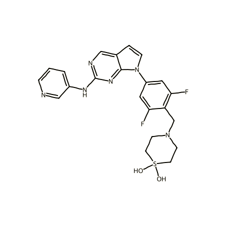 OS1(O)CCN(Cc2c(F)cc(-n3ccc4cnc(Nc5cccnc5)nc43)cc2F)CC1